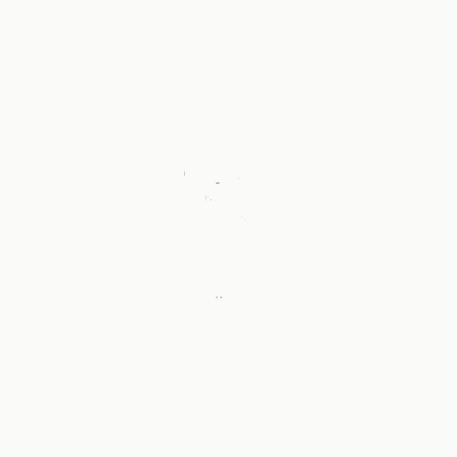 COC(=O)c1cnc2c(ccn2[Si](C(C)C)(C(C)C)C(C)C)c1F